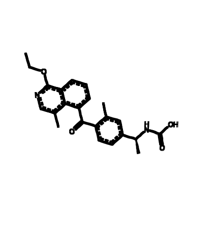 CCOc1ncc(C)c2c(C(=O)c3ccc([C@H](C)NC(=O)O)cc3C)cccc12